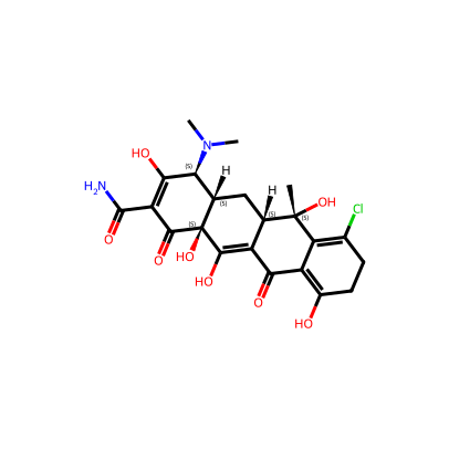 CN(C)[C@@H]1C(O)=C(C(N)=O)C(=O)[C@@]2(O)C(O)=C3C(=O)C4=C(O)CCC(Cl)=C4[C@@](C)(O)[C@H]3C[C@@H]12